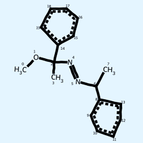 COC(C)(/N=N/C(C)c1ccccc1)c1ccccc1